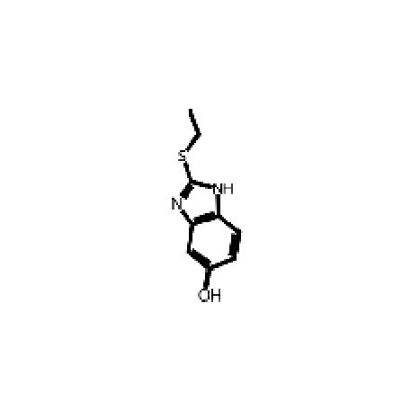 CCSc1nc2cc(O)ccc2[nH]1